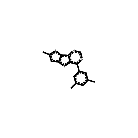 Cc1cc(C)cc(-c2ncnc3c2sc2cc(C)sc23)c1